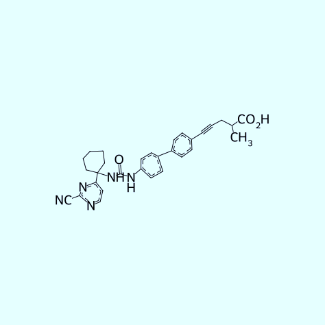 CC(CC#Cc1ccc(-c2ccc(NC(=O)NC3(c4ccnc(C#N)n4)CCCCC3)cc2)cc1)C(=O)O